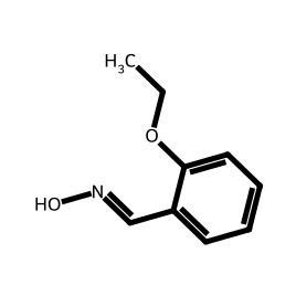 CCOc1ccccc1C=NO